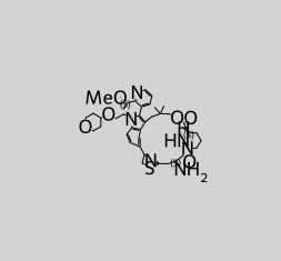 CO[C@@H](C)c1ncccc1-c1c2c3cc(ccc3n1CCOC1CCOCC1)C1CSC(=N1)C[C@H](N)C(=O)N1CCC[C@H](N1)C(=O)OCC(C)(C)C2